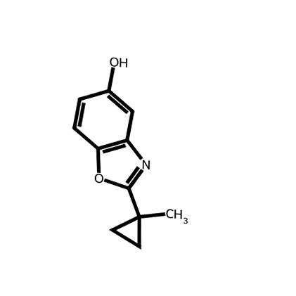 CC1(c2nc3cc(O)ccc3o2)CC1